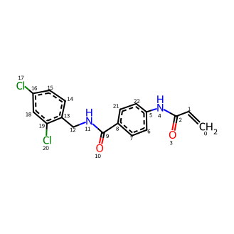 C=CC(=O)Nc1ccc(C(=O)NCc2ccc(Cl)cc2Cl)cc1